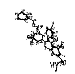 CNC(=O)c1cc(F)c(-c2nc3cc(C)ccn3c2CC2CN(C(=O)OCc3ccccc3)CC(F)(F)C2)c(F)c1